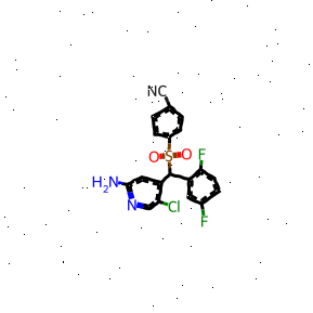 N#Cc1ccc(S(=O)(=O)C(c2cc(F)ccc2F)c2cc(N)ncc2Cl)cc1